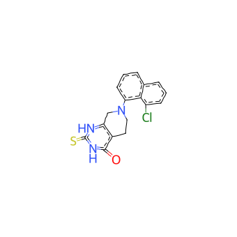 O=c1[nH]c(=S)[nH]c2c1CCN(c1cccc3cccc(Cl)c13)C2